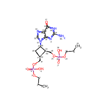 CCCOP(=O)(O)OC[C@H]1C[C@@H](n2cnc3c(=O)[nH]c(N)nc32)[C@H]1COP(=O)(O)OCCC